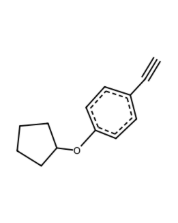 C#Cc1ccc(OC2CCCC2)cc1